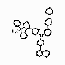 CC1(c2ccccc2)c2ccccc2C2=C(c3ccc(N(c4ccc(-c5cccc6ccccc56)cc4)c4cccc(-c5ccc(-c6ccccc6)cc5)c4)cc3)C=CCC21